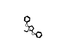 CCN1C(Oc2ccccc2)CCC1Oc1ccccc1